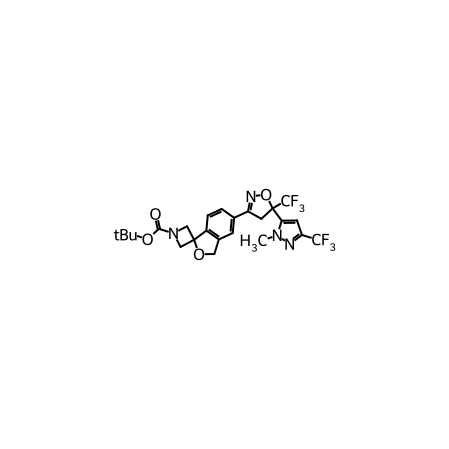 Cn1nc(C(F)(F)F)cc1C1(C(F)(F)F)CC(c2ccc3c(c2)COC32CN(C(=O)OC(C)(C)C)C2)=NO1